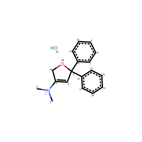 CN(C)C1=CC(c2ccccc2)(c2ccccc2)OC1.Cl